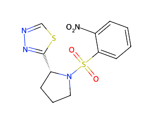 O=[N+]([O-])c1ccccc1S(=O)(=O)N1CCC[C@@H]1c1nncs1